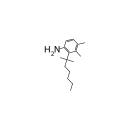 CCCCCC(C)(C)c1c(N)ccc(C)c1C